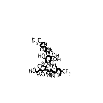 OCC1OC(S[C@@H]2O[C@H](CO)C(O)C(n3cc(-c4ncc(C(F)(F)F)cc4Cl)nn3)C2O)[C@@H](O)C(n2cc(-c3ncc(C(F)(F)F)cc3Cl)nn2)C1O